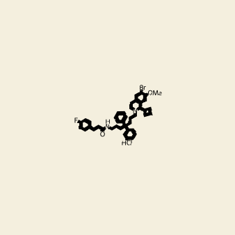 COc1cc2c(cc1Br)CCN(CCCC(CCCNC(=O)CCc1ccc(F)cc1)(c1ccccc1)c1ccccc1)C2C1CCC1.Cl